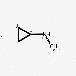 CNC1[CH]C1